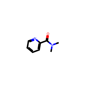 CN(C)C(=O)c1cc[c]cn1